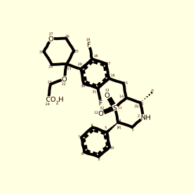 C[C@@H]1NC[C@@H](c2ccccc2)S(=O)(=O)C1Cc1cc(F)c(C2(OCC(=O)O)CCOCC2)cc1F